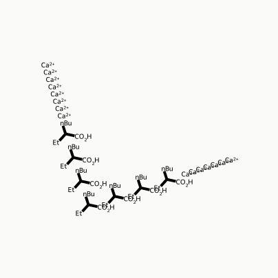 CCCCC(CC)C(=O)O.CCCCC(CC)C(=O)O.CCCCC(CC)C(=O)O.CCCCC(CC)C(=O)O.CCCCC(CC)C(=O)O.CCCCC(CC)C(=O)O.CCCCC(CC)C(=O)O.[Ca+2].[Ca+2].[Ca+2].[Ca+2].[Ca+2].[Ca+2].[Ca+2].[Ca+2].[Ca+2].[Ca+2].[Ca+2].[Ca+2].[Ca+2].[Ca+2].[Ca+2]